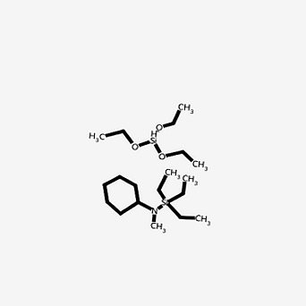 CCO[SiH](OCC)OCC.CC[Si](CC)(CC)N(C)C1CCCCC1